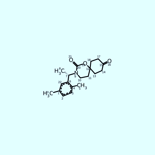 Cc1ccc(C)c([C@H](C)N2CCC3(CCC(=O)CC3)OC2=O)c1